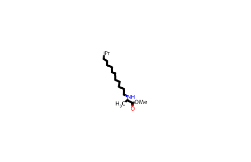 COC(=O)C(C)NCCCCCCCCCCCC(C)C